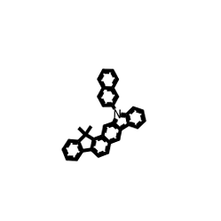 CC1(C)c2ccccc2-c2ccc3cc4c5ccccc5n(-c5ccc6ccccc6c5)c4cc3c21